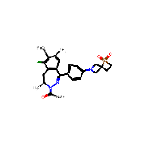 CNC(=O)N1N=C(c2ccc(N3CC4(CCS4(=O)=O)C3)cc2)c2cc(C)c(OC)c(F)c2C[C@@H]1C